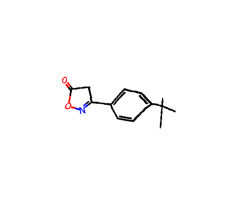 CC(C)(C)c1ccc(C2=NOC(=O)C2)cc1